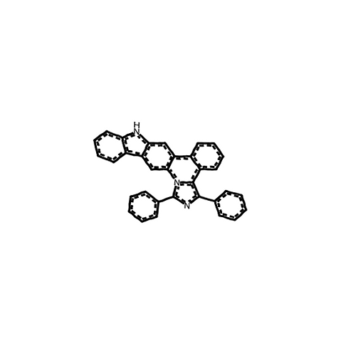 c1ccc(-c2nc(-c3ccccc3)n3c4cc5c(cc4c4ccccc4c23)[nH]c2ccccc25)cc1